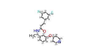 CC(NC(=O)C=Cc1cc(F)cc(F)c1)c1cccc(Oc2ccncc2)c1